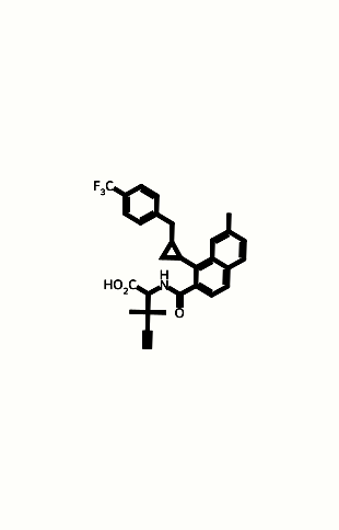 C#CC(C)(C)C(NC(=O)c1ccc2ccc(C)cc2c1C1CC1Cc1ccc(C(F)(F)F)cc1)C(=O)O